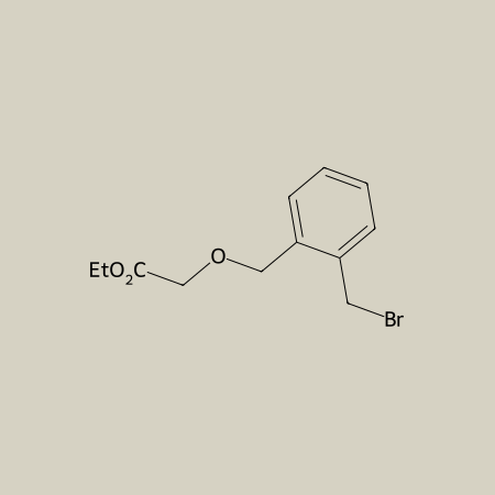 CCOC(=O)COCc1ccccc1CBr